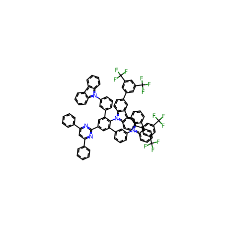 FC(F)(F)c1cc(-c2ccc3c(c2)c2cc(-c4cc(C(F)(F)F)cc(C(F)(F)F)c4)ccc2n3-c2c(-c3cccc(-n4c5ccccc5c5ccccc54)c3)cc(-c3nc(-c4ccccc4)cc(-c4ccccc4)n3)cc2-c2cccc(-n3c4ccccc4c4ccccc43)c2)cc(C(F)(F)F)c1